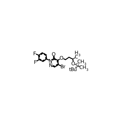 C[C@H](CCOc1c(Br)cnn(-c2ccc(F)c(F)c2)c1=O)O[Si](C)(C)C(C)(C)C